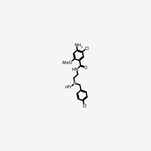 CCCN(CCNC(=O)c1cc(Cl)c(N)cc1OC)Cc1ccc(Cl)cc1